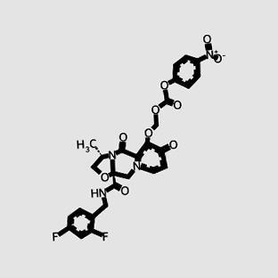 C[C@H]1CO[C@@]2(C(=O)NCc3ccc(F)cc3F)Cn3ccc(=O)c(OCOC(=O)Oc4ccc([N+](=O)[O-])cc4)c3C(=O)N12